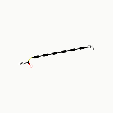 CC#CC#CC#CC#CC#CC#CSC(=O)CCC